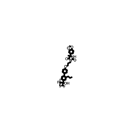 CCCc1cc(C(O)(C(F)F)C(F)(F)F)ccc1-c1ccc(OCCCN2C(=O)NC(C)(c3ccc4c(c3)OCO4)C2=O)cc1